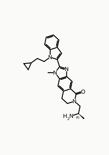 C[C@@H](N)CN1CCc2cc3c(cc2C1=O)nc(-c1cc2ccccc2n1CCC1CC1)n3C